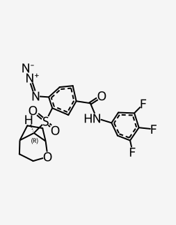 [N-]=[N+]=Nc1ccc(C(=O)Nc2cc(F)c(F)c(F)c2)cc1S(=O)(=O)[C@@H]1C2CCOC1CC2